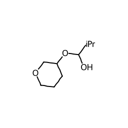 CC(C)C(O)OC1CCCOC1